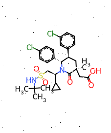 CC(C)(C)NS(=O)(=O)C[C@H](C1CC1)N1C(=O)[C@](C)(CC(=O)O)C[C@H](c2cccc(Cl)c2)[C@H]1c1ccc(Cl)cc1